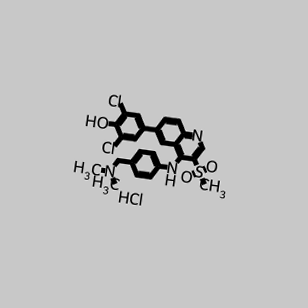 CN(C)Cc1ccc(Nc2c(S(C)(=O)=O)cnc3ccc(-c4cc(Cl)c(O)c(Cl)c4)cc23)cc1.Cl